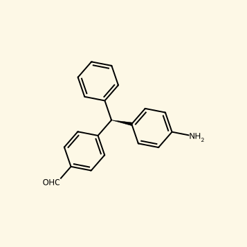 Nc1ccc([C@H](c2ccccc2)c2ccc(C=O)cc2)cc1